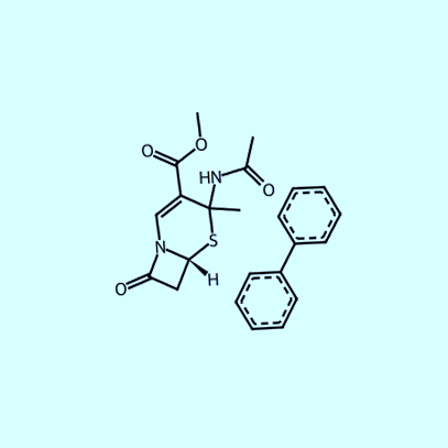 COC(=O)C1=CN2C(=O)C[C@H]2SC1(C)NC(C)=O.c1ccc(-c2ccccc2)cc1